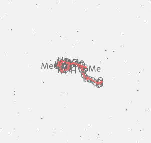 C=C1C[C@@H]2CC[C@]34C[C@@H](OC)[C@H](O3)C3C[C@@H](O4)[C@H]4O[C@H](CC[C@@H]4O3)CC(=O)C[C@@H]3[C@@H](OC)[C@@H](C[C@H](O)CNC(=O)OCc4ccc(N(CCOCCOCCOCCn5cc(COCCOCCOCCC(=O)ON6C(=O)CCC6=O)nn5)C(=O)OCC(C)(C)SSC)cc4)O[C@H]3C[C@H]3O[C@@H](CC[C@@H]1O2)C[C@@H](C)C3=C